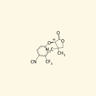 [C-]#[N+]c1ccc(O[C@H]2C(=O)OCC2(C)C)cc1C(F)(F)F